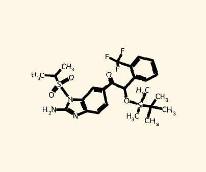 CC(C)S(=O)(=O)n1c(N)nc2ccc(C(=O)C(O[Si](C)(C)C(C)(C)C)c3ccccc3C(F)(F)F)cc21